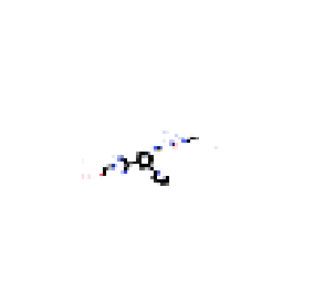 CCCNC(=O)Nc1nc2cc(-c3cnc(C(C)CO)nc3)cc(-c3ccccn3)c2s1